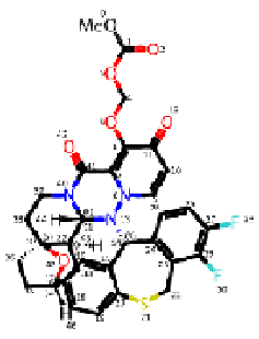 COC(=O)OCOc1c2n(ccc1=O)N([C@H]1c3ccccc3SCc3c1ccc(F)c3F)[C@@H]1[C@H]3C[C@@H]4CC[C@@]3(CCN1C2=O)O4